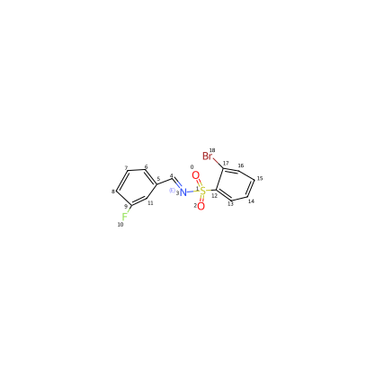 O=S(=O)(/N=C/c1cccc(F)c1)c1ccccc1Br